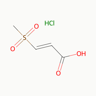 CS(=O)(=O)C=CC(=O)O.Cl